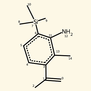 C=C(C)c1ccc([Si](C)(C)C)c(N)c1C